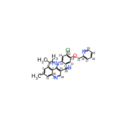 Cc1cc(C(C)C)c2c(Nc3ccc(OCc4ccccn4)c(Cl)c3)c(C#N)cnc2c1